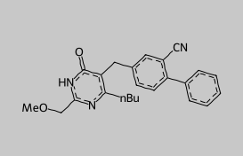 CCCCc1nc(COC)[nH]c(=O)c1Cc1ccc(-c2ccccc2)c(C#N)c1